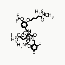 CN(C)C(=O)CCCCOc1cc(-c2nc(C(=O)NCc3ccc(F)cc3F)c(C(CC(C)(C)C)OC(N)=O)o2)ccc1OC(F)F